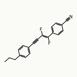 CCCc1ccc(C#C/C(F)=C(\F)c2ccc(C#N)cc2)cc1